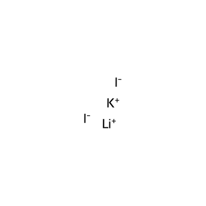 [I-].[I-].[K+].[Li+]